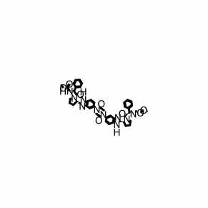 COO/C=N/[C@@H](C(=O)N1CCC[C@H]1c1nc2cc(N3CC(=O)N(c4ccc5[nH]c([C@@H]6CCCN6C(=O)[C@@H](NC(=O)OC)c6ccccc6)nc5c4)CC3=O)ccc2[nH]1)c1ccccc1